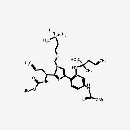 C=CC[C@H](NC(=O)OC(C)(C)C)c1nc(-c2ccc(NC(=O)OC)cc2N[C@](C)(CC=C)C(=O)O)cn1COCC[Si](C)(C)C